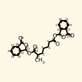 CC(CCCCC(=O)OC1OC(=O)c2ccccc21)C(=O)OC1OC(=O)c2ccccc21